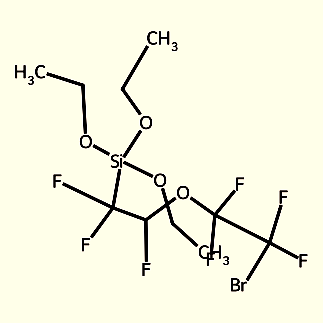 CCO[Si](OCC)(OCC)C(F)(F)C(F)OC(F)(F)C(F)(F)Br